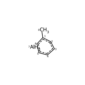 Cc1[c]cccc1.[AlH3]